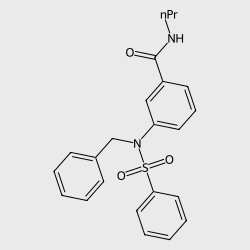 CCCNC(=O)c1cccc(N(Cc2ccccc2)S(=O)(=O)c2ccccc2)c1